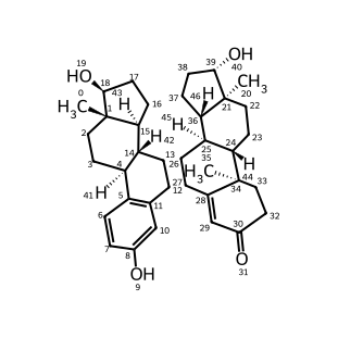 C[C@]12CC[C@@H]3c4ccc(O)cc4CC[C@H]3[C@@H]1CC[C@@H]2O.C[C@]12CC[C@H]3[C@@H](CCC4=CC(=O)CC[C@@]43C)[C@@H]1CC[C@@H]2O